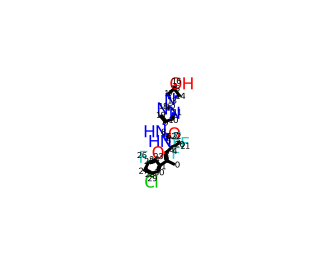 Cc1c(C(F)(NC(=O)Nc2cnc(N3CC(O)C3)nc2)C(F)F)oc2c(F)cc(Cl)cc12